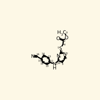 COC(=O)CSc1nccc(Nc2ccc(C#N)cc2)n1